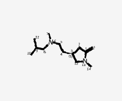 C=C1C[C@H](CCN(C)CC(C)C)CN1C